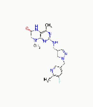 Cc1ncc(Cn2cc(CNc3nc(C)c4c(n3)N(C)CC(=O)N4)cn2)cc1F